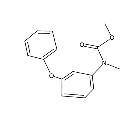 COC(=O)N(C)c1cccc(Oc2ccccc2)c1